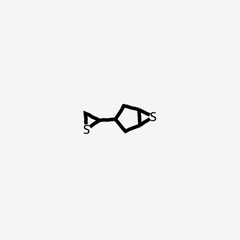 C1SC1C1CC2SC2C1